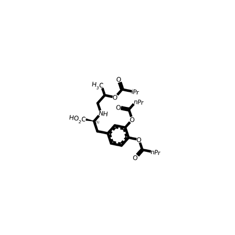 CCCC(=O)Oc1ccc(C[C@H](NCC(C)OC(=O)C(C)C)C(=O)O)cc1OC(=O)CCC